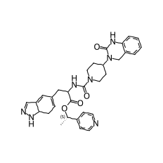 C[C@H](OC(=O)C(CC1=CCC2NN=CC2=C1)NC(=O)N1CCC(N2Cc3ccccc3NC2=O)CC1)c1ccncc1